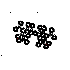 c1ccc(N2B3c4c(cc5c6c4-c4c(cc(N(c7ccccc7)c7ccccc7)cc4N(c4ccccc4)B6N(c4ccccc4)c4cc6c(cc4-5)-c4cc5c7c8c4B(N6c4ccccc4)N(c4ccccc4)c4cc(N(c6ccccc6)c6ccccc6)cc(c4-8)N(c4ccccc4)B7N(c4ccccc4)c4ccccc4-5)N3c3ccccc3)-c3ccccc32)cc1